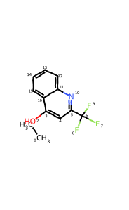 CC.Oc1cc(C(F)(F)F)nc2ccccc12